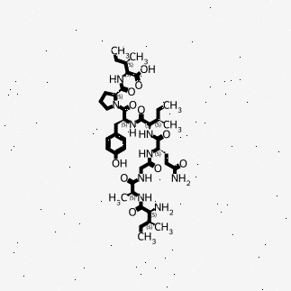 CC[C@H](C)[C@H](N)C(=O)N[C@@H](C)C(=O)NCC(=O)N[C@@H](CCC(N)=O)C(=O)N[C@H](C(=O)N[C@@H](Cc1ccc(O)cc1)C(=O)N1CCC[C@H]1C(=O)N[C@H](C(=O)O)[C@@H](C)CC)[C@@H](C)CC